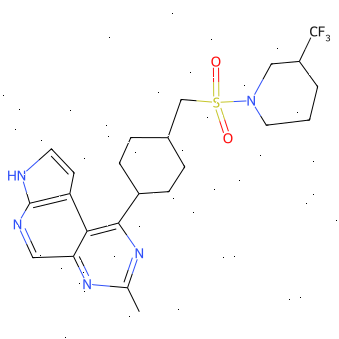 Cc1nc(C2CCC(CS(=O)(=O)N3CCCC(C(F)(F)F)C3)CC2)c2c(cnc3[nH]ccc32)n1